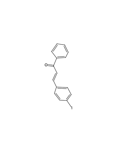 O=C(/C=C/c1ccc(I)cc1)c1ccccc1